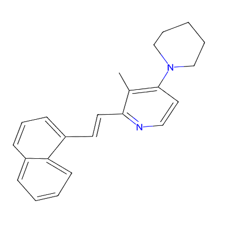 Cc1c(N2CCCCC2)ccnc1C=Cc1cccc2ccccc12